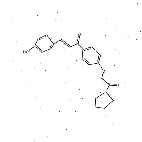 O=C(/C=C/c1ccc(O)cc1)c1ccc(OCC(=O)N2CCCC2)cc1